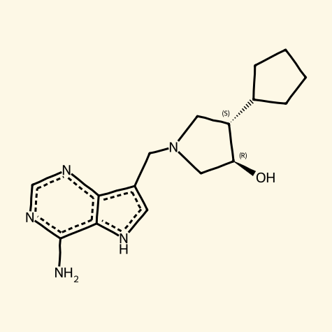 Nc1ncnc2c(CN3C[C@H](C4CCCC4)[C@@H](O)C3)c[nH]c12